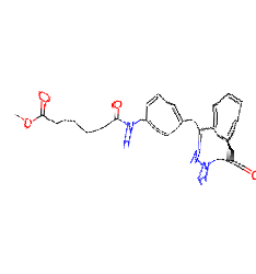 COC(=O)CCCC(=O)Nc1cccc(-c2n[nH]c(=O)c3ccccc23)c1